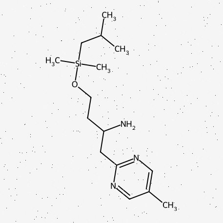 Cc1cnc(CC(N)CCO[Si](C)(C)CC(C)C)nc1